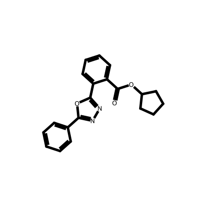 O=C(OC1CCCC1)c1ccccc1-c1nnc(-c2ccccc2)o1